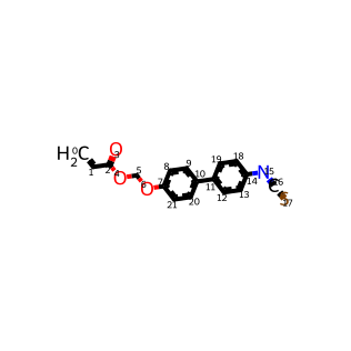 C=CC(=O)OCOc1ccc(-c2ccc(N=C=S)cc2)cc1